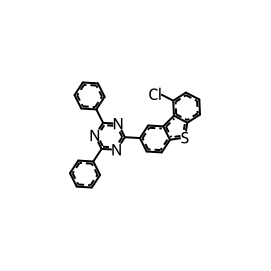 Clc1cccc2sc3ccc(-c4nc(-c5ccccc5)nc(-c5ccccc5)n4)cc3c12